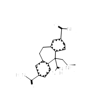 C[C@@H](N)CC1(C(=N)N)c2ccc(C(N)=O)cc2CCc2cc(C(N)=O)ccc21